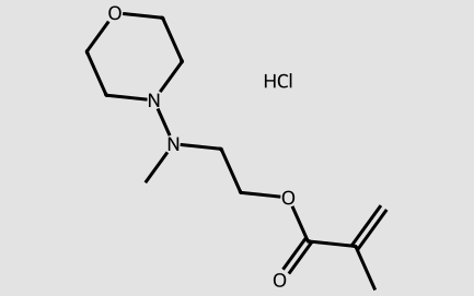 C=C(C)C(=O)OCCN(C)N1CCOCC1.Cl